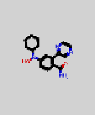 NC(=O)c1ccc(N(O)C2CCCCC2)cc1-c1cnccn1